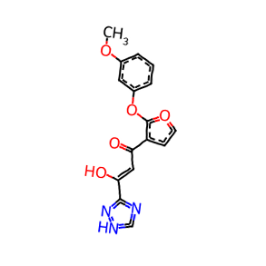 COc1cccc(Oc2occc2C(=O)C=C(O)c2nc[nH]n2)c1